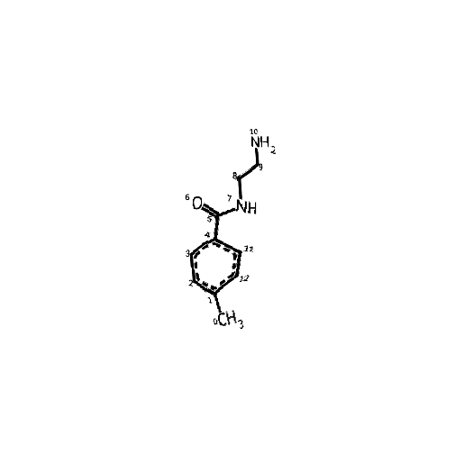 Cc1ccc(C(=O)NCCN)cc1